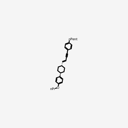 CCCCCc1ccc(C#C/C=C/[C@H]2CC[C@H](c3ccc(OCCC)cc3)CC2)cc1